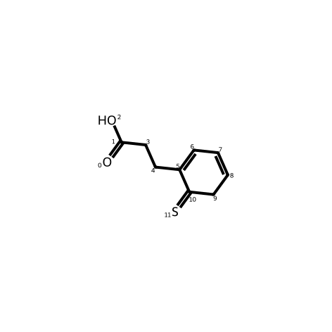 O=C(O)CCC1=CC=CCC1=S